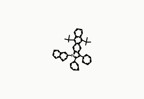 CC(C)(C)c1c2ccccc2c(C(C)(C)C)c2cc3c(cc12)c(-c1ccccc1)c(-c1ccccc1)n3-c1ccc2ccccc2c1